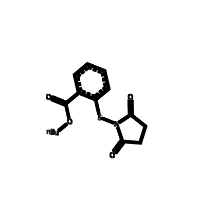 CCCCOC(=O)c1ccccc1SN1C(=O)CCC1=O